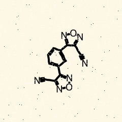 N#Cc1nonc1-c1cccc(-c2nonc2C#N)c1